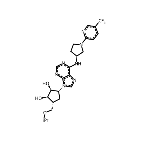 CC(C)OC[C@H]1C[C@@H](n2cnc3c(N[C@H]4CCN(c5ccc(C(F)(F)F)cn5)C4)ncnc32)[C@H](O)[C@@H]1O